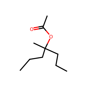 CCCC(C)(CCC)OC(C)=O